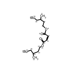 CC(CCOC(=O)/C=C\C(=O)OCCC(C)CC(C)(C)C)CC(C)(C)C